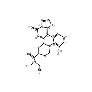 CN(C=N)C(=N)C1CCN(c2c(C#N)cccc2-c2cnc(=O)n3ccoc23)CC1